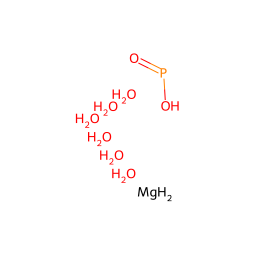 O.O.O.O.O.O.O=PO.[MgH2]